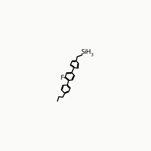 CCCc1ccc(-c2ccc(-c3ccc(CC[SiH3])cc3)cc2F)cc1